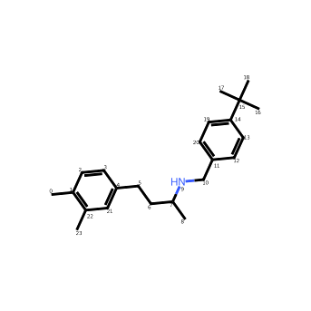 Cc1ccc(CCC(C)NCc2ccc(C(C)(C)C)cc2)cc1C